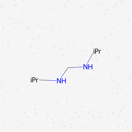 CC(C)NCNC(C)C